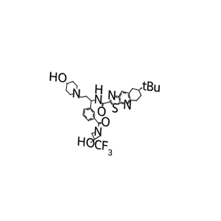 CC(C)(C)[C@H]1CCc2nc3sc(C(=O)NC(CCN4CCC(O)CC4)c4cccc(C(=O)N5CC(O)(C(F)(F)F)C5)c4)nc3cc2C1